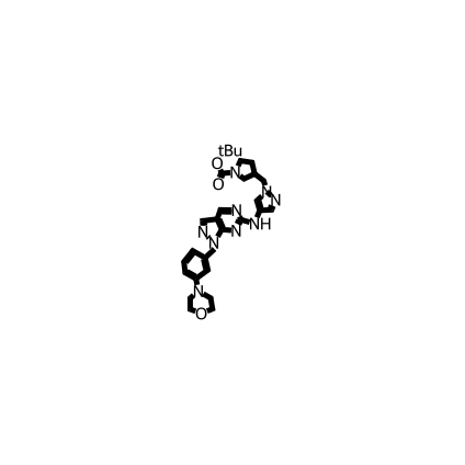 CC(C)(C)OC(=O)N1CCC(Cn2cc(Nc3ncc4cnn(Cc5cccc(N6CCOCC6)c5)c4n3)cn2)C1